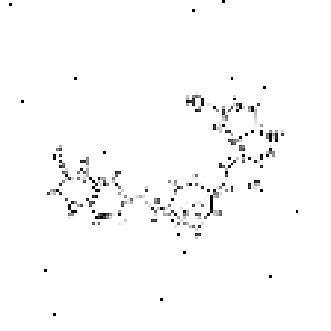 Cc1ccc2ncc(F)c(CCC34CCCC(NCc5ccc6c(n5)NC(=O)CO6)(CC3)CO4)c2n1